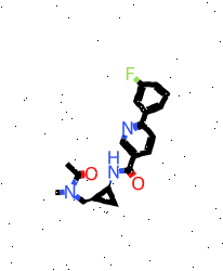 CC(=O)N(C)C[C@@H]1C[C@H]1NC(=O)c1ccc(-c2cccc(F)c2)nc1